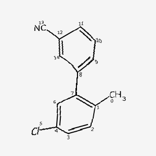 Cc1ccc(Cl)cc1-c1cccc(C#N)c1